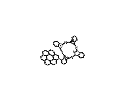 c1ccc2c(c1)-c1nc-2nc2[nH]c(nc3nc(nc4[nH]c(n1)c1ccccc41)-c1ccccc1-3)c1c(-c3cc4ccc5ccc6ccc7ccc8ccc3c3c8c7c6c5c43)cccc21